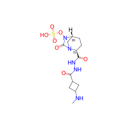 CNC1CC(C(=O)NNC(=O)[C@@H]2CC[C@@H]3CN2C(=O)N3OS(=O)(=O)O)C1